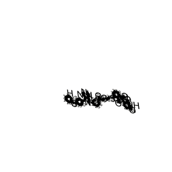 Nc1ncnc2c1c(-c1ccc(Oc3ccccc3)cc1)nn2C1CCCN(C(=O)COCCSc2cccc3c2C(=O)N(C2CCC(=O)NC2=O)C3=O)C1